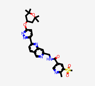 Cc1ncc(C(=O)NCc2cc3nc(-c4ccc(OC5CC(C)(C)OC(C)(C)C5)nn4)ccc3cn2)cc1S(C)(=O)=O